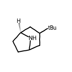 CC(C)(C)C1CC2CC[C@@H](C1)N2